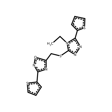 CCn1c(SCc2nc(-c3cccs3)no2)nnc1-c1cccs1